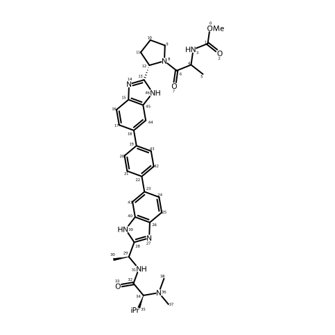 COC(=O)NC(C)C(=O)N1CCC[C@H]1c1nc2ccc(-c3ccc(-c4ccc5nc([C@H](C)NC(=O)[C@H](C(C)C)N(C)C)[nH]c5c4)cc3)cc2[nH]1